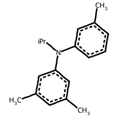 Cc1cccc(N(c2cc(C)cc(C)c2)C(C)C)c1